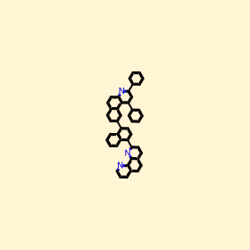 c1ccc(-c2cc(-c3ccccc3)c3c(ccc4ccc(-c5ccc(-c6ccc7ccc8cccnc8c7n6)c6ccccc56)cc43)n2)cc1